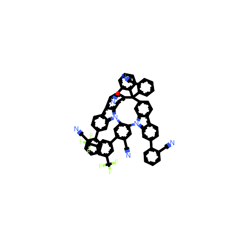 N#Cc1ccccc1-c1ccc2c3ccc4cc3n(c2c1)-c1cc(C#N)c(-c2cc(C(F)(F)F)cc(C(F)(F)F)c2)cc1-n1c2cc(-c3ccccc3C#N)ccc2c2ccc(cc21)C4(c1ccccc1C#N)c1ccccc1C#N